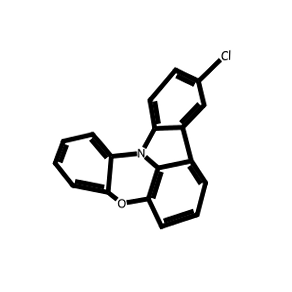 Clc1ccc2c(c1)c1cccc3c1n2-c1ccccc1O3